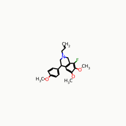 C=CCN1Cc2c(cc(OC)c(OC)c2F)C(c2ccc(OC)cc2)C1